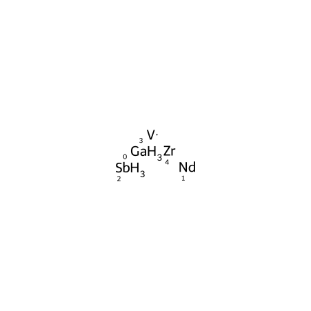 [GaH3].[Nd].[SbH3].[V].[Zr]